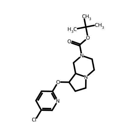 CC(C)(C)OC(=O)N1CCN2CCC(Oc3ccc(Cl)cn3)C2C1